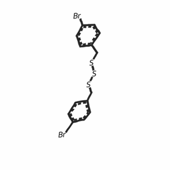 Brc1ccc(CSSSCc2ccc(Br)cc2)cc1